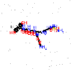 CC(CCC(=O)NC(CC(=O)NC(CC(=O)N[C@@H](CCCCn1cc(CCCC(=O)Nc2nnc(S(N)(=O)=O)s2)nn1)C(=O)NCCOCCOCCN)C(=O)O)C(=O)O)(c1ccc(O)cc1)c1ccc(O)cc1